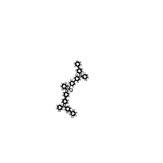 O=c1n(-c2ccc(-c3ccc(N(c4ccccc4)c4ccc(-c5ccccc5)cc4)cc3)cc2)c2ccccc2n1-c1ccc(-c2ccc(N(c3ccccc3)c3ccc(-c4ccccc4)cc3)cc2)cc1